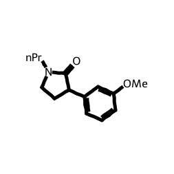 CCCN1CCC(c2cccc(OC)c2)C1=O